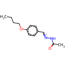 CCCCOc1ccc(/C=N/NC(C)=O)cc1